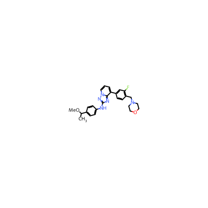 COC(C)c1ccc(Nc2nc3c(-c4ccc(CN5CCOCC5)c(F)c4)cccn3n2)cc1